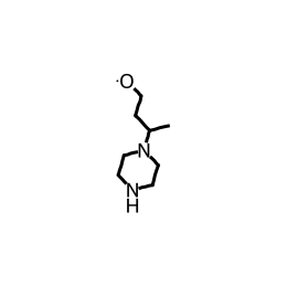 CC(CC[O])N1CCNCC1